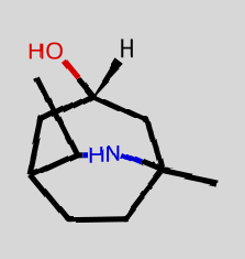 CC1NC2(C)CCC1C[C@H](O)C2